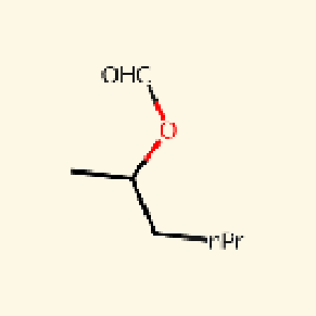 CCCCC(C)OC=O